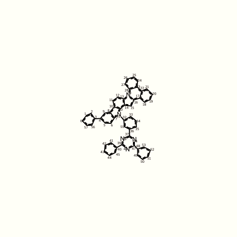 c1ccc(-c2ccc3c(c2)c2ccc4c(cc5c6ccccc6c6ccccc6n54)c2n3-c2cccc(-c3nc(-c4ccccc4)nc(-c4ccccc4)n3)c2)cc1